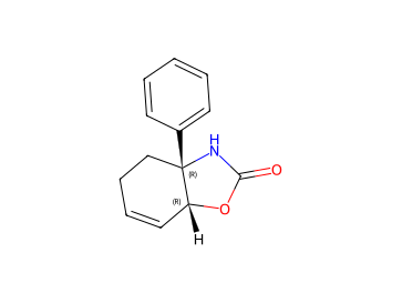 O=C1N[C@@]2(c3ccccc3)CCC=C[C@H]2O1